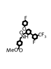 COC(=O)c1ccc(CNC(=O)c2cc(-c3cc(F)cc(C(F)(F)F)c3)ccc2Oc2ccc(F)cc2)cc1